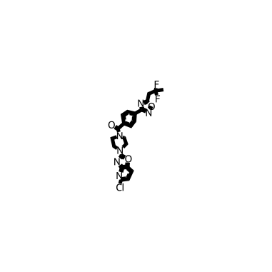 CC(F)(F)Cc1nc(-c2ccc(C(=O)N3CCN(c4nc5nc(Cl)ccc5o4)CC3)cc2)no1